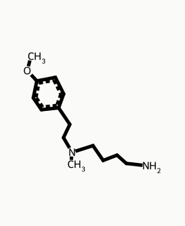 COc1ccc(CCN(C)CCCCN)cc1